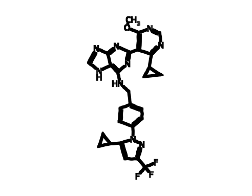 COc1ncnc(C2CC2)c1-c1nc(NCc2ccc(-n3nc(C(F)(F)F)cc3C3CC3)cc2)c2[nH]cnc2n1